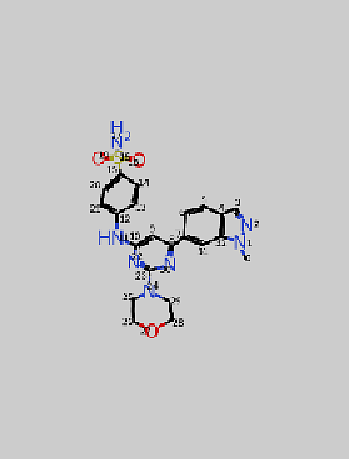 Cn1ncc2ccc(-c3cc(Nc4ccc(S(N)(=O)=O)cc4)nc(N4CCOCC4)n3)cc21